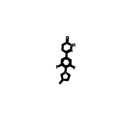 CC1CCN(c2c(F)cc(C3=NNC(=O)CC3)cc2F)C1